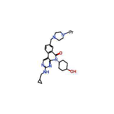 CC(C)N1CCN(Cc2ccc3c(c2)c(=O)n([C@H]2CC[C@H](O)CC2)c2nc(NCC4CC4)ncc32)CC1